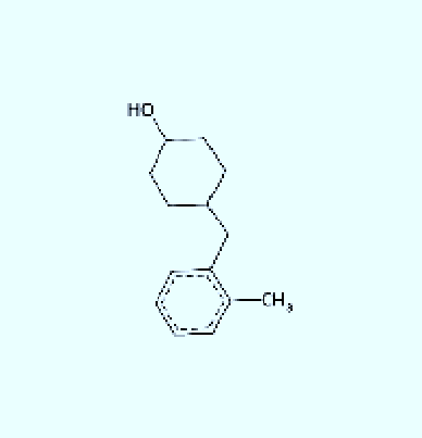 Cc1ccccc1CC1CCC(O)CC1